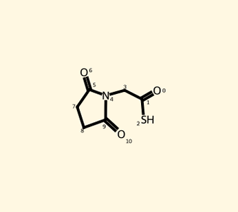 O=C(S)CN1C(=O)CCC1=O